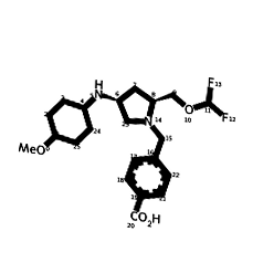 COC1CCC(N[C@H]2C[C@@H](COC(F)F)N(Cc3ccc(C(=O)O)cc3)C2)CC1